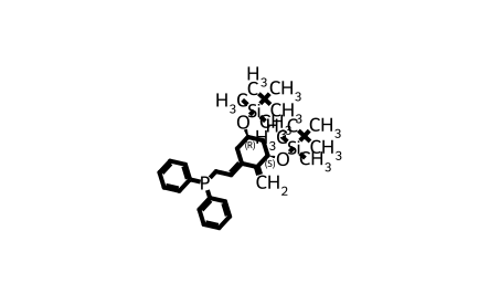 C=C1C(=CCP(c2ccccc2)c2ccccc2)C[C@@H](O[Si](C)(C)C(C)(C)C)C[C@@H]1O[Si](C)(C)C(C)(C)C